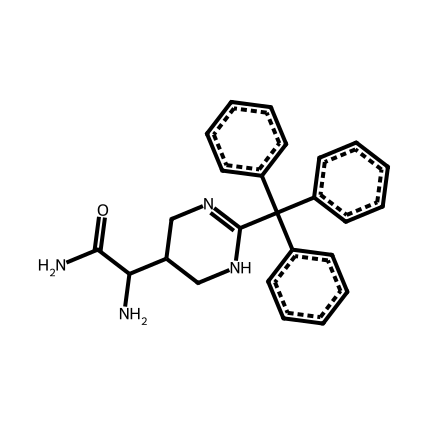 NC(=O)C(N)C1CN=C(C(c2ccccc2)(c2ccccc2)c2ccccc2)NC1